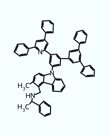 Cc1ccc2c(c1CNC(C)c1ccccc1)c1ccccc1n2-c1cc(-c2cc(-c3ccccc3)cc(-c3ccccc3)c2)cc(-c2cc(-c3ccccc3)cc(-c3ccccc3)n2)c1